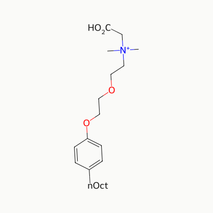 CCCCCCCCc1ccc(OCCOCC[N+](C)(C)CC(=O)O)cc1